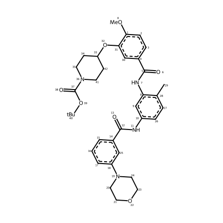 COc1ccc(C(=O)Nc2cc(NC(=O)c3cccc(N4CCOCC4)c3)ccc2C)cc1OC1CCN(C(=O)OC(C)(C)C)CC1